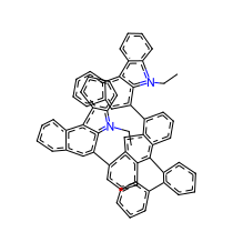 CCn1c2ccccc2c2c3ccccc3cc(-c3cccc4c(-c5ccccc5-c5ccccc5)c5cccc(-c6cc7ccccc7c7c8ccccc8n(CC)c67)c5cc34)c21